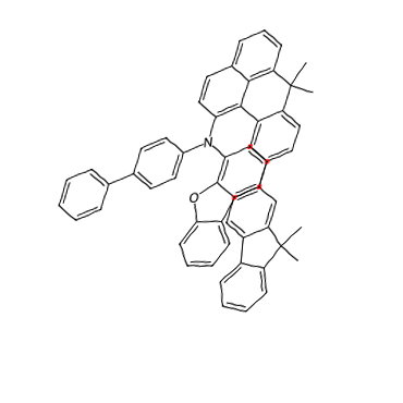 CC1(C)c2ccccc2-c2ccc(-c3ccc4c(c3)-c3c(N(c5ccc(-c6ccccc6)cc5)c5cccc6c5oc5ccccc56)ccc5cccc(c35)C4(C)C)cc21